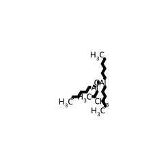 CCCCC[CH2][Al]([CH2]CCCCC)[O][Al]([CH2]CCCCC)[CH2]C(C)C